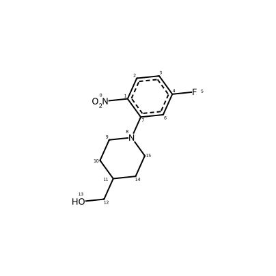 O=[N+]([O-])c1ccc(F)cc1N1CCC(CO)CC1